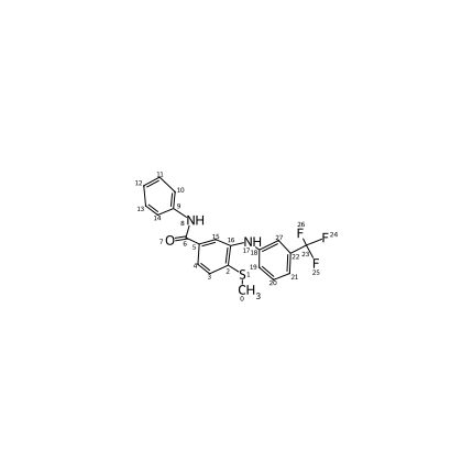 CSc1ccc(C(=O)Nc2ccccc2)cc1Nc1cccc(C(F)(F)F)c1